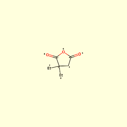 CCC1(CC)CC(=O)OC1=O